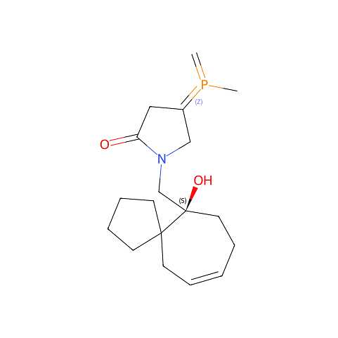 C=P(/C)=C1\CC(=O)N(C[C@]2(O)CCC=CCC23CCCC3)C1